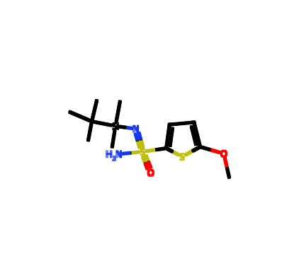 COc1ccc(S(N)(=O)=N[Si](C)(C)C(C)(C)C)s1